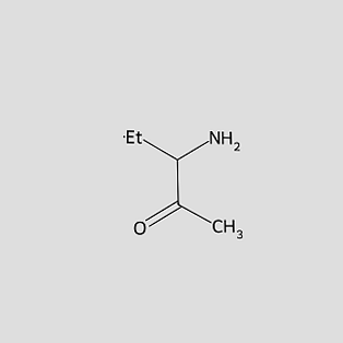 C[CH]C(N)C(C)=O